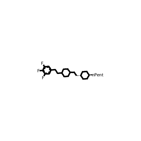 CCCCC[C@H]1CC[C@H](CCC2CCC(CCc3cc(F)c(F)c(F)c3)CC2)CC1